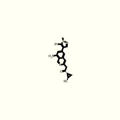 CC(C)c1c(-c2cc(N)c3cnc(CC(=O)[C@@H]4C[C@H]4C#N)cc3c2)cnn1C